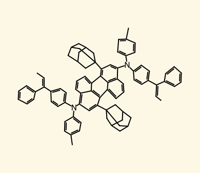 CC=C(c1ccccc1)c1ccc(N(c2ccc(C)cc2)c2cc(C34CC5CC(CC(C5)C3)C4)c3c4cccc5c(N(c6ccc(C)cc6)c6ccc(C(=CC)c7ccccc7)cc6)cc(C67CC8CC(CC(C8)C6)C7)c(c6cccc2c63)c54)cc1